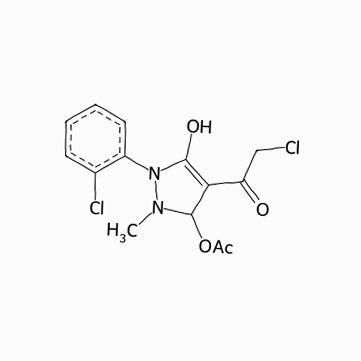 CC(=O)OC1C(C(=O)CCl)=C(O)N(c2ccccc2Cl)N1C